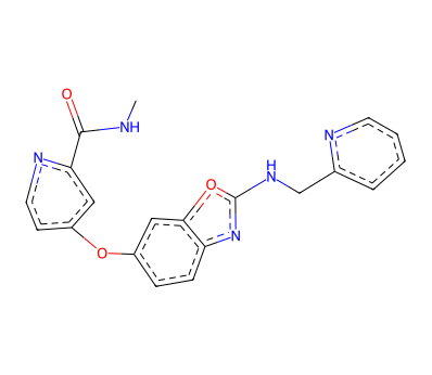 CNC(=O)c1cc(Oc2ccc3nc(NCc4ccccn4)oc3c2)ccn1